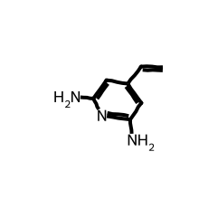 C=Cc1cc(N)nc(N)c1